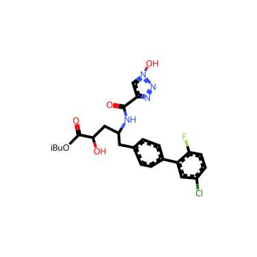 CC(C)COC(=O)C(O)CC(Cc1ccc(-c2cc(Cl)ccc2F)cc1)NC(=O)c1cn(O)nn1